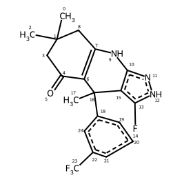 CC1(C)CC(=O)C2=C(C1)Nc1n[nH]c(F)c1C2(C)c1cccc(C(F)(F)F)c1